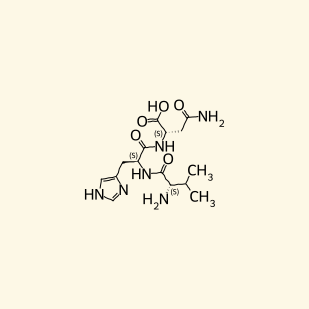 CC(C)[C@H](N)C(=O)N[C@@H](Cc1c[nH]cn1)C(=O)N[C@@H](CC(N)=O)C(=O)O